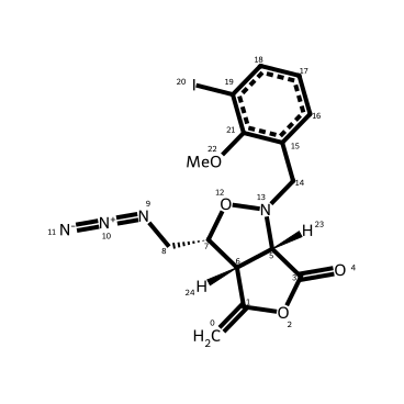 C=C1OC(=O)[C@@H]2[C@H]1[C@H](CN=[N+]=[N-])ON2Cc1cccc(I)c1OC